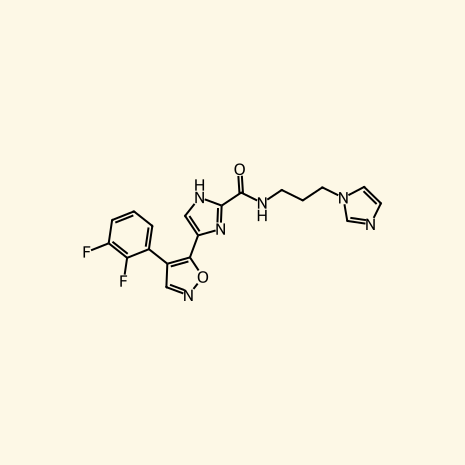 O=C(NCCCn1ccnc1)c1nc(-c2oncc2-c2cccc(F)c2F)c[nH]1